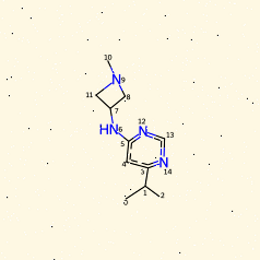 CC(C)c1cc(NC2CN(C)C2)ncn1